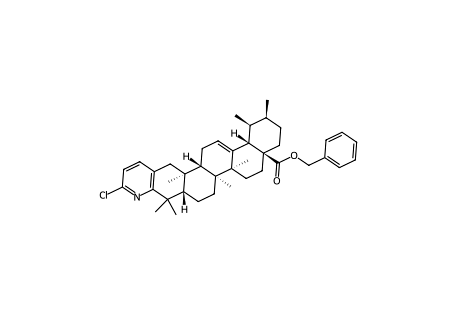 C[C@@H]1[C@H]2C3=CC[C@H]4[C@]5(C)Cc6ccc(Cl)nc6C(C)(C)[C@H]5CC[C@]4(C)[C@]3(C)CC[C@@]2(C(=O)OCc2ccccc2)CC[C@@H]1C